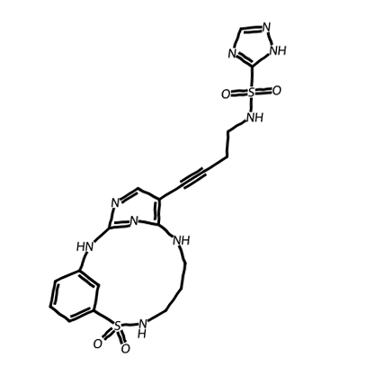 O=S1(=O)NCCCNc2nc(ncc2C#CCCNS(=O)(=O)c2ncn[nH]2)Nc2cccc1c2